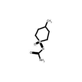 CC1CCS(=O)(=NC(N)=O)CC1